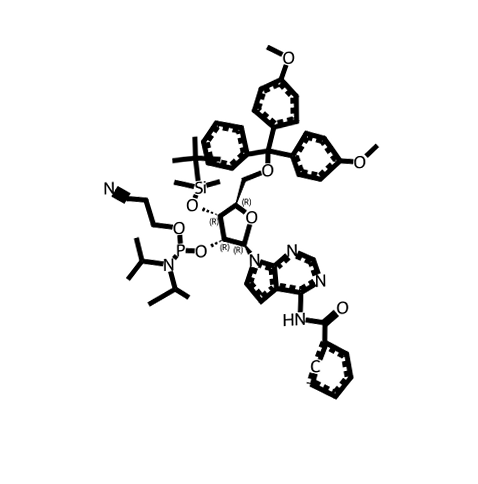 COc1ccc(C(OC[C@H]2O[C@@H](n3ccc4c(NC(=O)c5ccccc5)ncnc43)[C@H](OP(OCCC#N)N(C(C)C)C(C)C)[C@@H]2O[Si](C)(C)C(C)(C)C)(c2ccccc2)c2ccc(OC)cc2)cc1